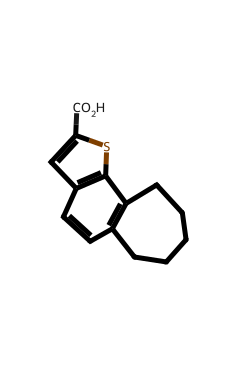 O=C(O)c1cc2ccc3c(c2s1)CCCCC3